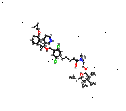 CC(=O)OC[C@H]1OC(OCCN(C)C(=O)CCCCc2cc(Cl)c(COC3(c4cnccc4-c4ccccc4OC4CC4)CC3)cc2Cl)[C@H](C)[C@@H](OC(C)=O)[C@@H]1OC(C)=O